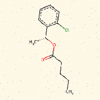 CCCCC(=O)O[C@H](C)c1ccccc1Cl